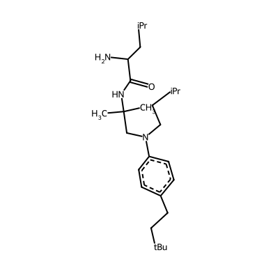 CC(C)CCN(CC(C)(C)NC(=O)C(N)CC(C)C)c1ccc(CCC(C)(C)C)cc1